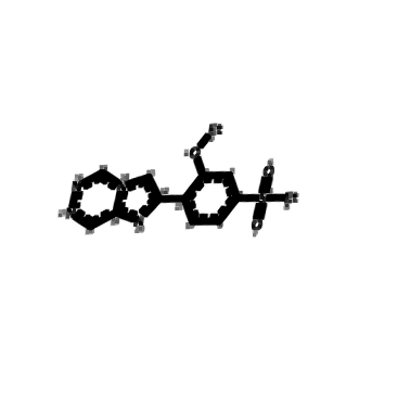 CCOc1cc(S(=O)(=O)CC)ccc1-c1cn2cnncc2n1